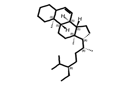 CC[C@H](CC[C@@H](C)[C@H]1CC[C@H]2[C@@H]3C=CC4CCCC[C@]4(C)[C@H]3CC[C@]12C)C(C)C